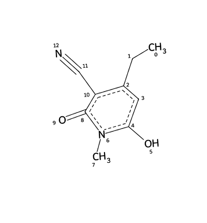 CCc1cc(O)n(C)c(=O)c1C#N